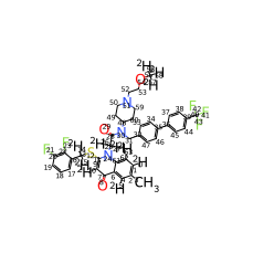 [2H]c1c(C)c([2H])c2c(=O)c([2H])c(SC([2H])([2H])c3cccc(F)c3F)n(C([2H])([2H])C(=O)N(Cc3ccc(-c4ccc(C(F)(F)F)cc4)cc3)C3CCN(CCOC([2H])([2H])[2H])CC3)c2c1[2H]